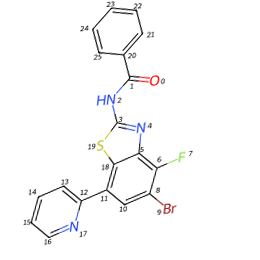 O=C(Nc1nc2c(F)c(Br)cc(-c3ccccn3)c2s1)c1ccccc1